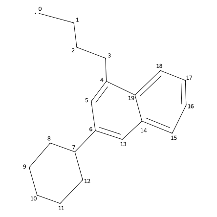 [CH2]CCCc1cc(C2CCCCC2)cc2ccccc12